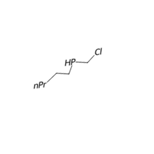 CCCCCPCCl